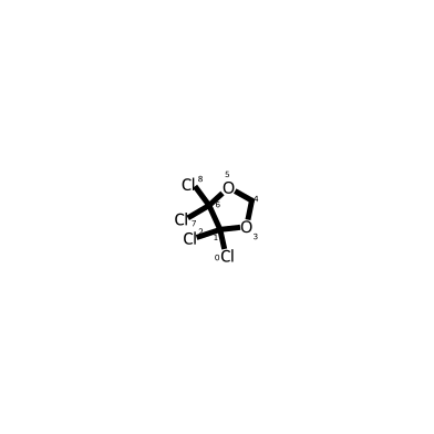 ClC1(Cl)OCOC1(Cl)Cl